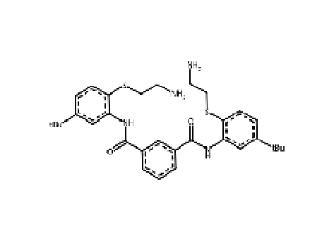 CC(C)(C)c1ccc(SCCN)c(NC(=O)c2cccc(C(=O)Nc3cc(C(C)(C)C)ccc3SCCN)c2)c1